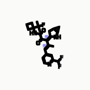 CC(=C\c1ccnc(C(F)F)c1)/C(C(=O)C(=O)NC1(C(C)(C)F)CCC1)=C1/CC2CC2N1